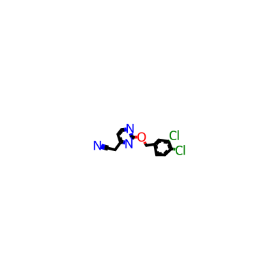 N#CCc1ccnc(OCc2ccc(Cl)c(Cl)c2)n1